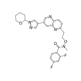 CN(OCCc1ccc2ncc(-c3cnn(C4CCCCO4)c3)cc2n1)C(=O)c1ccc(F)cc1F